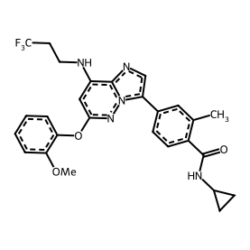 COc1ccccc1Oc1cc(NCCC(F)(F)F)c2ncc(-c3ccc(C(=O)NC4CC4)c(C)c3)n2n1